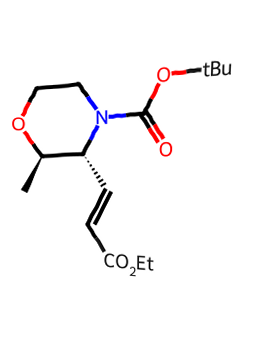 CCOC(=O)/C=C/[C@@H]1[C@@H](C)OCCN1C(=O)OC(C)(C)C